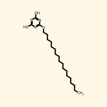 CCCCCCCCCCCCCCCCCCOc1nc(O)nc(O)n1